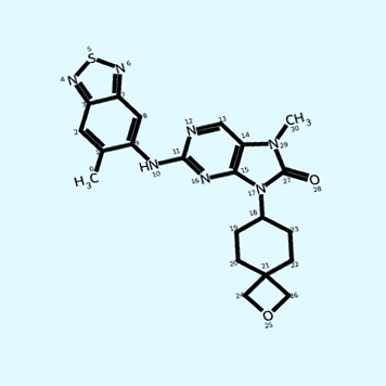 Cc1cc2nsnc2cc1Nc1ncc2c(n1)n(C1CCC3(CC1)COC3)c(=O)n2C